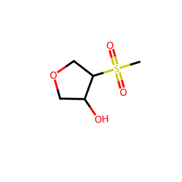 CS(=O)(=O)C1COCC1O